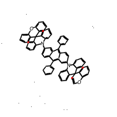 C1=CCCC(c2c3cc(N4c5ccccc5C5(c6ccccc6Oc6ccccc65)c5ccccc54)ccc3c(-c3ccccc3)c3cc(N4c5ccccc5C5(c6ccccc6Oc6ccccc65)c5ccccc54)ccc23)=C1